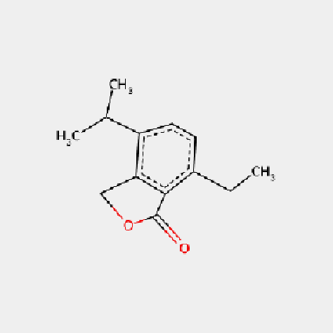 CCc1ccc(C(C)C)c2c1C(=O)OC2